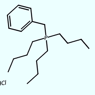 CCCC[P](CCCC)(CCCC)Cc1ccccc1.Cl